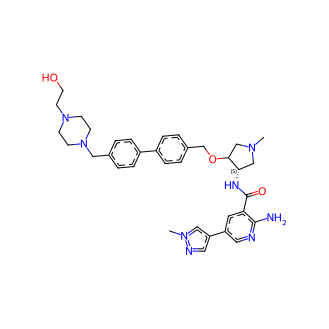 CN1CC(OCc2ccc(-c3ccc(CN4CCN(CCO)CC4)cc3)cc2)[C@@H](NC(=O)c2cc(-c3cnn(C)c3)cnc2N)C1